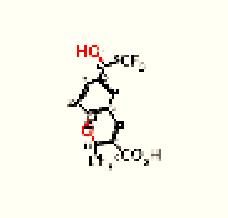 O=C(O)C1=Cc2cc(C(O)C(F)(F)F)ccc2OC1C(F)(F)F